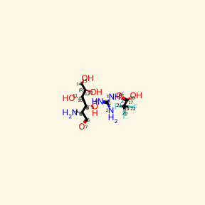 N=C(N)N.N[C@@H](C=O)[C@@H](O)[C@H](O)[C@H](O)CO.O=C(O)C(F)(F)F